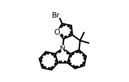 CC1(C)c2cc(Br)oc2-n2c3ccccc3c3cccc1c32